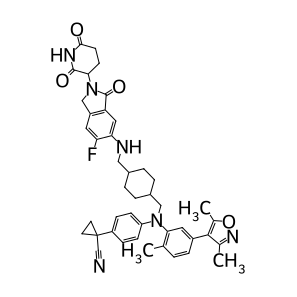 Cc1ccc(-c2c(C)noc2C)cc1N(CC1CCC(CNc2cc3c(cc2F)CN(C2CCC(=O)NC2=O)C3=O)CC1)c1ccc(C2(C#N)CC2)cc1